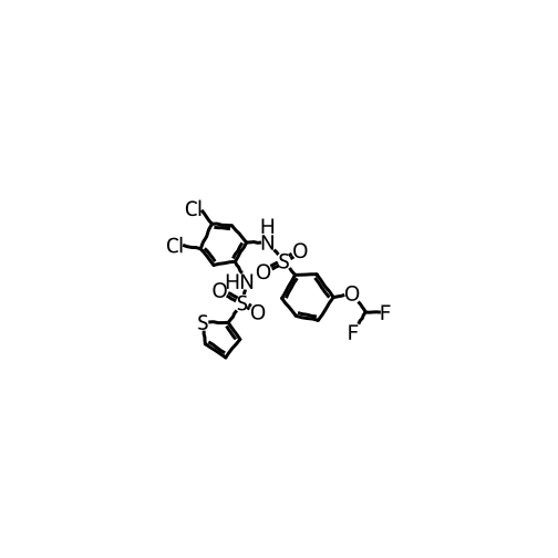 O=S(=O)(Nc1cc(Cl)c(Cl)cc1NS(=O)(=O)c1cccs1)c1cccc(OC(F)F)c1